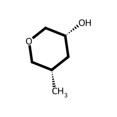 C[C@@H]1COC[C@H](O)C1